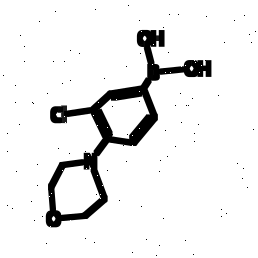 OB(O)c1ccc(N2CCOCC2)c(Cl)c1